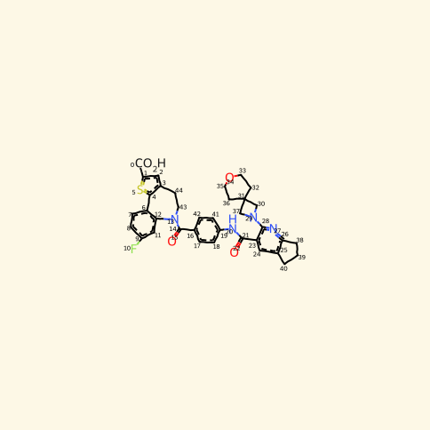 O=C(O)c1cc2c(s1)-c1ccc(F)cc1N(C(=O)c1ccc(NC(=O)c3cc4c(nc3N3CC5(CCOCC5)C3)CCC4)cc1)CC2